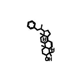 C[C@H](Cc1ccccc1)[C@H]1CCC2=C3C=C[C@H]4C(C)(C)[C@@H](O)CC[C@]4(C)[C@H]3CC[C@@]21C